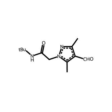 Cc1nn(CC(=O)NC(C)(C)C)c(C)c1C=O